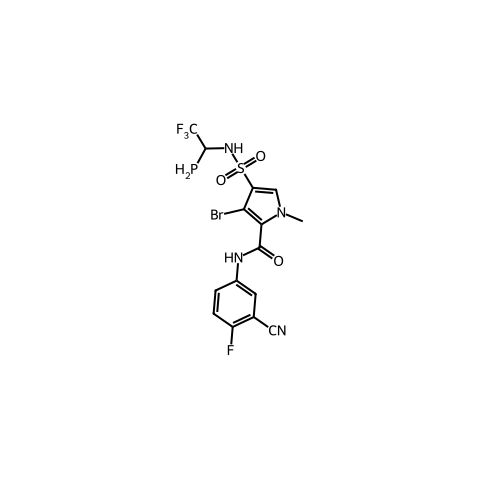 Cn1cc(S(=O)(=O)NC(P)C(F)(F)F)c(Br)c1C(=O)Nc1ccc(F)c(C#N)c1